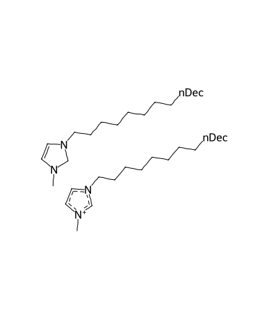 CCCCCCCCCCCCCCCCCCN1C=CN(C)C1.CCCCCCCCCCCCCCCCCCn1cc[n+](C)c1